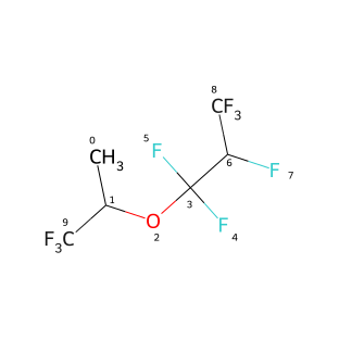 CC(OC(F)(F)C(F)C(F)(F)F)C(F)(F)F